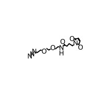 [N-]=[N+]=NCCOCCOCCNC(=O)CCCN1C(=O)C=CC1=O